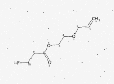 C=CCOCCOC(=O)CCF